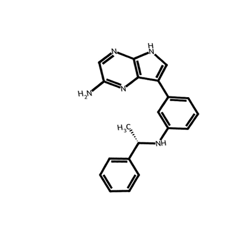 C[C@H](Nc1cccc(-c2c[nH]c3ncc(N)nc23)c1)c1ccccc1